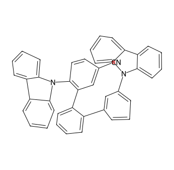 N#Cc1ccc(-n2c3ccccc3c3ccccc32)c(-c2ccccc2-c2cccc(-n3c4ccccc4c4ccccc43)c2)c1